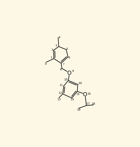 CC1=CC(C)CC=C1COc1cc(C)cc(OC(C)C)c1